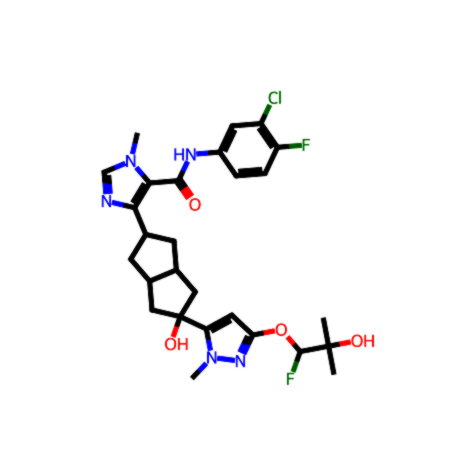 Cn1cnc(C2CC3CC(O)(c4cc(OC(F)C(C)(C)O)nn4C)CC3C2)c1C(=O)Nc1ccc(F)c(Cl)c1